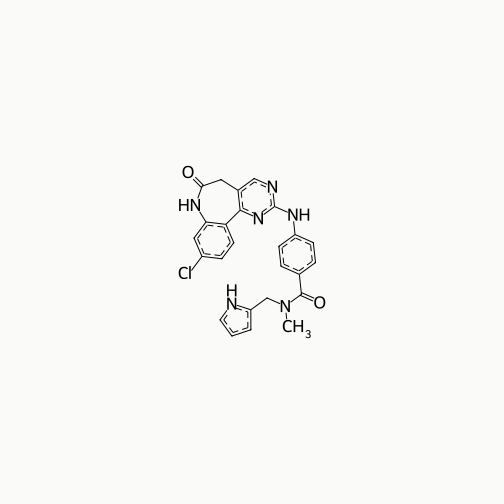 CN(Cc1ccc[nH]1)C(=O)c1ccc(Nc2ncc3c(n2)-c2ccc(Cl)cc2NC(=O)C3)cc1